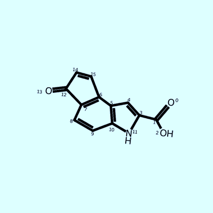 O=C(O)c1cc2c3c(ccc2[nH]1)C(=O)C=C3